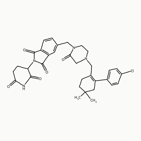 CC1(C)CCC(CN2CCN(Cc3ccc4c(c3)C(=O)N(C3CCC(=O)NC3=O)C4=O)C(=O)C2)=C(c2ccc(Cl)cc2)C1